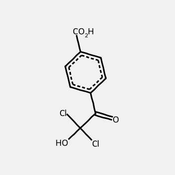 O=C(O)c1ccc(C(=O)C(O)(Cl)Cl)cc1